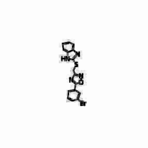 Brc1cccc(-c2nc(CSc3nc4ccccc4[nH]3)no2)c1